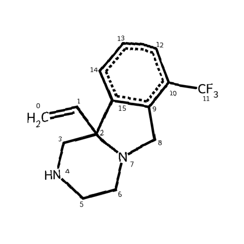 C=CC12CNCCN1Cc1c(C(F)(F)F)cccc12